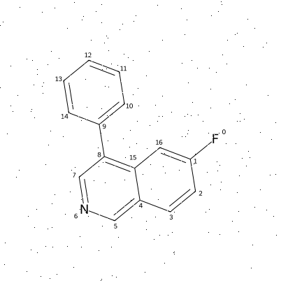 Fc1ccc2cncc(-c3ccccc3)c2c1